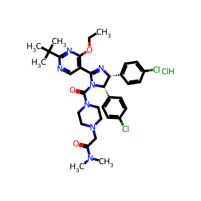 CCOc1nc(C(C)(C)C)ncc1C1=N[C@H](c2ccc(Cl)cc2)[C@H](c2ccc(Cl)cc2)N1C(=O)N1CCN(CC(=O)N(C)C)CC1.Cl